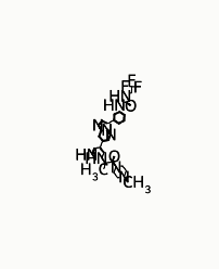 CC(N/C=C(\C=N)c1cnn2c(-c3cccc(NC(=O)NCC(F)(F)F)c3)cnc2c1)C(=O)N1CCN(C)CC1